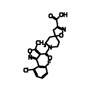 Cc1onc(-c2c(F)cccc2Cl)c1C(=O)N1CCC2(CC1)CC(C(=O)O)=NO2